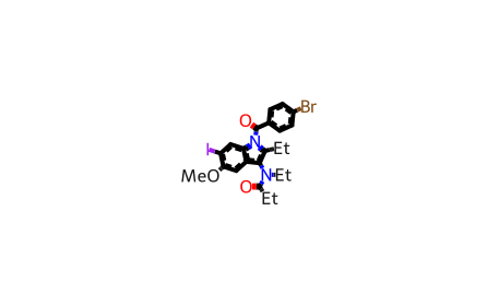 CCC(=O)N(CC)c1c(CC)n(C(=O)c2ccc(Br)cc2)c2cc(I)c(OC)cc12